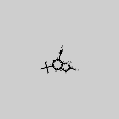 CC(C)(C)c1cc(C#N)c2sc(I)cc2c1